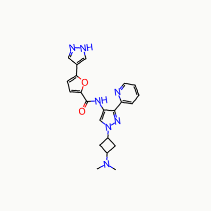 CN(C)C1CC(n2cc(NC(=O)c3ccc(-c4cn[nH]c4)o3)c(-c3ccccn3)n2)C1